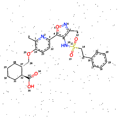 Cc1nc(-c2onc(C)c2NS(=O)(=O)CCc2ccccc2)ccc1OC[C@H]1CCCC[C@@H]1C(=O)O